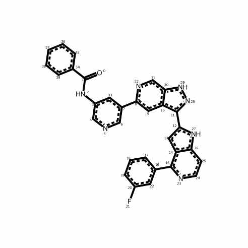 O=C(Nc1cncc(-c2cc3c(-c4cc5c(-c6cccc(F)c6)nccc5[nH]4)n[nH]c3cn2)c1)c1ccccc1